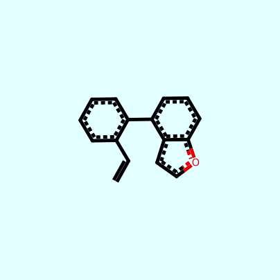 C=Cc1ccccc1-c1cccc2occc12